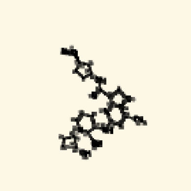 CO[C@@H]1CC[C@@H](NC(=O)c2cnn3c(C)cc(NC4=CC=CN([C@H]5CC[C@H]5O)C4O)nc23)C1